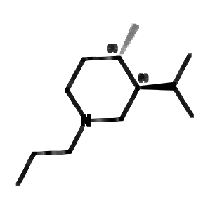 CCCN1CC[C@H](C)[C@@H](C(C)C)C1